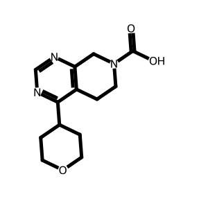 O=C(O)N1CCc2c(ncnc2C2CCOCC2)C1